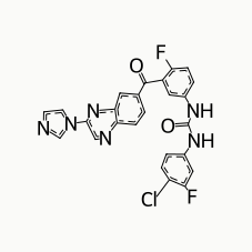 O=C(Nc1ccc(Cl)c(F)c1)Nc1ccc(F)c(C(=O)c2ccc3ncc(-n4ccnc4)nc3c2)c1